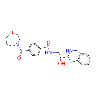 O=C(NCC(O)C1Cc2ccccc2CN1)c1ccc(C(=O)N2CCCOCC2)cc1